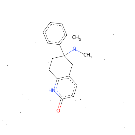 CN(C)C1(c2ccccc2)CCc2[nH]c(=O)ccc2C1